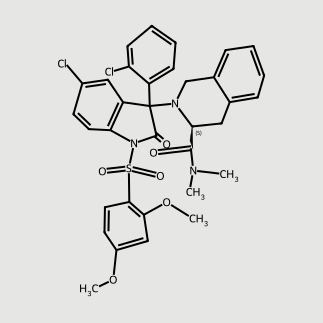 COc1ccc(S(=O)(=O)N2C(=O)C(c3ccccc3Cl)(N3Cc4ccccc4C[C@H]3C(=O)N(C)C)c3cc(Cl)ccc32)c(OC)c1